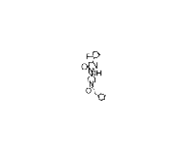 O=C(CCc1ccccc1)N1CCC(O)(Cn2cnc(-c3ccccc3F)cc2=O)CC1